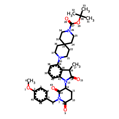 COc1ccc(CN2C(=O)CCC(N3C(=O)C(C)c4c(N5CCC6(CCN(C(=O)OC(C)(C)C)CC6)CC5)cccc43)C2=O)cc1